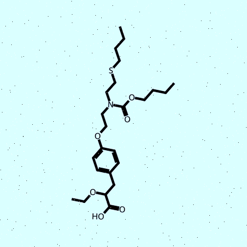 CCCCOC(=O)N(CCOc1ccc(CC(OCC)C(=O)O)cc1)CCSCCCC